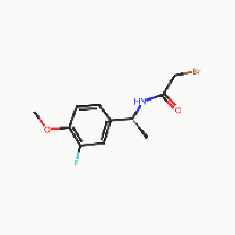 COc1ccc([C@H](C)NC(=O)CBr)cc1F